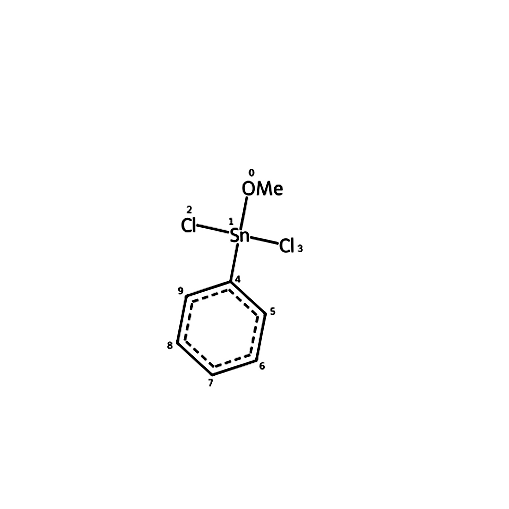 C[O][Sn]([Cl])([Cl])[c]1ccccc1